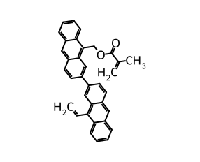 C=Cc1c2ccccc2cc2ccc(-c3ccc4cc5ccccc5c(COC(=O)C(=C)C)c4c3)cc12